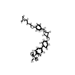 CN(C)CCCOc1ccc(CN2CC(Oc3ccc(-c4ccc(S(C)(=O)=O)nc4)cc3)C2)cc1